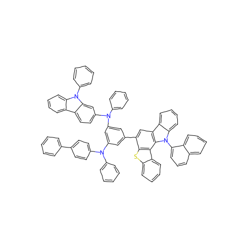 c1ccc(-c2ccc(N(c3ccccc3)c3cc(-c4cc5c6ccccc6n(-c6cccc7ccccc67)c5c5c4sc4ccccc45)cc(N(c4ccccc4)c4ccc5c6ccccc6n(-c6ccccc6)c5c4)c3)cc2)cc1